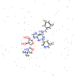 [2H]C([2H])([2H])NC(=O)[C@H]1O[C@@H](n2cnc3c(NCc4cc(F)cc(F)c4)nc(-c4cncc(Cl)c4)nc32)[C@H](O)[C@@H]1O